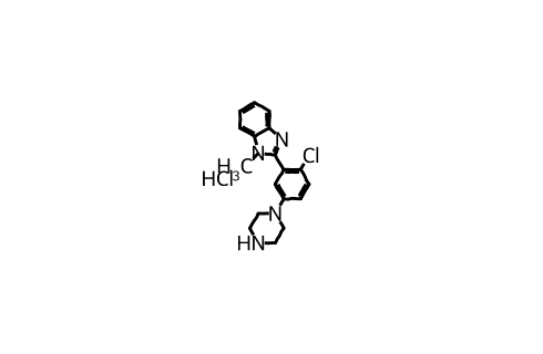 Cl.Cn1c(-c2cc(N3CCNCC3)ccc2Cl)nc2ccccc21